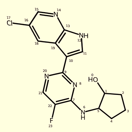 OC1CCCC1Nc1nc(-c2c[nH]c3ncc(Cl)cc23)ncc1F